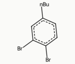 CCCCc1ccc(Br)c(Br)c1